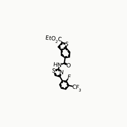 CCOC(=O)c1cc2cc(C(=O)Nc3nc(-c4cccc(C(F)(F)F)c4F)cs3)ccc2s1